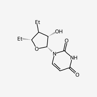 CCC1[C@@H](CC)O[C@@H](n2ccc(=O)[nH]c2=O)[C@H]1O